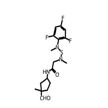 CN(CC(=O)NC1CCC(C)(C=O)C1)SN(C)c1c(F)cc(F)cc1F